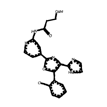 COCCC(=O)Nc1cc(-c2nc(-c3ncc[nH]3)c(-c3ccccc3Cl)o2)ccn1